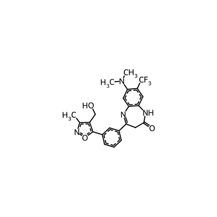 Cc1noc(-c2cccc(C3=Nc4cc(N(C)C)c(C(F)(F)F)cc4NC(=O)C3)c2)c1CO